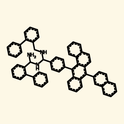 NC(NC(NCc1ccccc1-c1ccccc1)c1ccc(-c2c3ccccc3c(-c3ccc4ccccc4c3)c3ccc4ccccc4c23)cc1)c1ccccc1-c1ccccc1